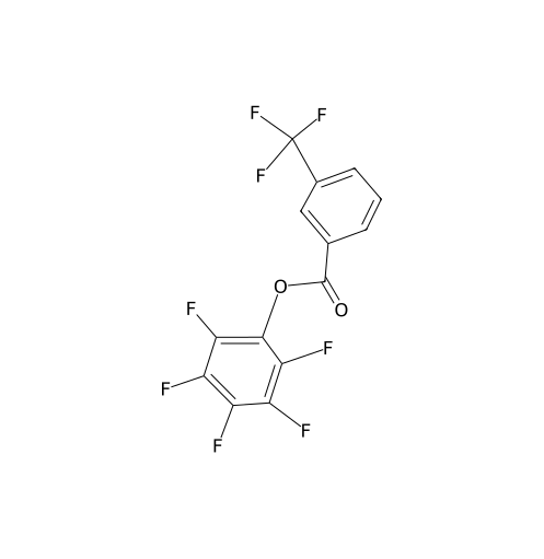 O=C(Oc1c(F)c(F)c(F)c(F)c1F)c1cccc(C(F)(F)F)c1